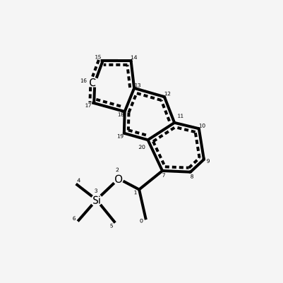 CC(O[Si](C)(C)C)c1cccc2cc3ccccc3cc12